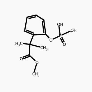 COC(=O)C(C)(C)c1ccccc1OP(=O)(O)O